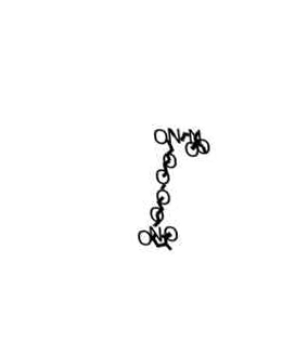 COC(=O)N(C)CCN(C)C(=O)CCOCCOCCOCCOCCN1C(=O)CC(C)C1=O